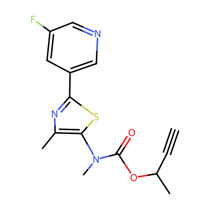 C#CC(C)OC(=O)N(C)c1sc(-c2cncc(F)c2)nc1C